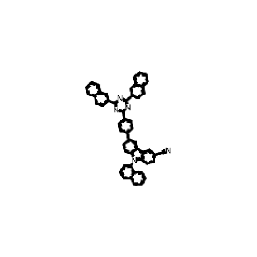 N#Cc1ccc2c(c1)c1cc(-c3ccc(-c4nc(-c5ccc6ccccc6c5)nc(-c5ccc6ccccc6c5)n4)cc3)ccc1n2-c1cccc2ccccc12